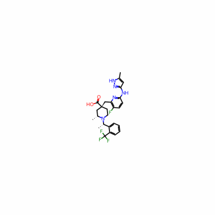 Cc1cc(Nc2ccc(F)c(C[C@@]3(C(=O)O)CCN([C@@H](C)c4ccccc4C(F)(F)F)[C@H](C)C3)n2)n[nH]1